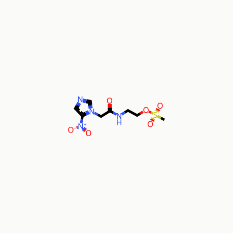 CS(=O)(=O)OCCNC(=O)Cn1cncc1[N+](=O)[O-]